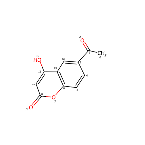 CC(=O)c1ccc2oc(=O)cc(O)c2c1